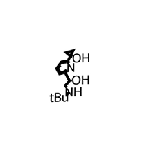 CC(C)(C)NC[C@H](O)c1cccc(C2(O)CC2)n1